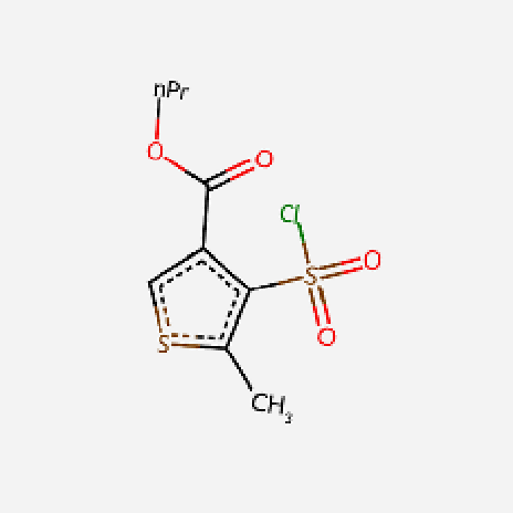 CCCOC(=O)c1csc(C)c1S(=O)(=O)Cl